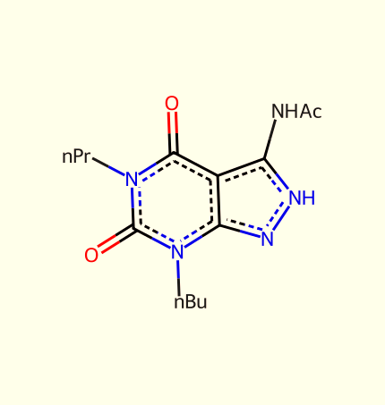 CCCCn1c(=O)n(CCC)c(=O)c2c(NC(C)=O)[nH]nc21